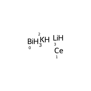 [BiH3].[Ce].[KH].[LiH]